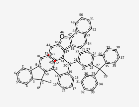 CC1(C)c2ccccc2-c2cccc(-c3ccccc3N(c3ccc4c(c3)C(C)(c3ccccc3)c3ccccc3-4)c3cccc4oc5c6ccccc6ccc5c34)c21